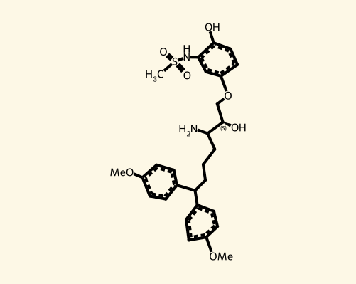 COc1ccc(C(CCCC(N)[C@H](O)COc2ccc(O)c(NS(C)(=O)=O)c2)c2ccc(OC)cc2)cc1